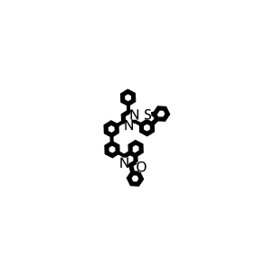 c1ccc(-c2cc(-c3cccc(-c4cccc(-c5nc6c7ccccc7oc6c6ccccc56)c4)c3)nc(-c3cccc4c3sc3ccccc34)n2)cc1